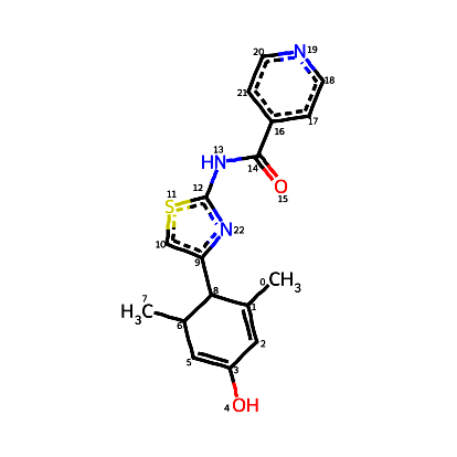 CC1=CC(O)=CC(C)C1c1csc(NC(=O)c2ccncc2)n1